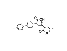 Cc1ccc(-c2ccc(C(CNC(CC(C)C)C(=O)O)C(=O)O)cc2)cc1